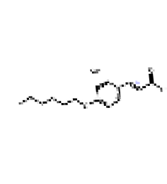 CCCCCCOc1ccc(/C=C/C(=O)[O-])cc1.[Na+]